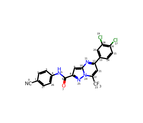 N#Cc1ccc(NC(=O)c2cc3nc(-c4ccc(Cl)c(Cl)c4)cc(C(F)(F)F)n3n2)cc1